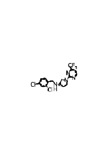 FC(F)(F)c1ccnc(N2CC[C@H](NCc3ccc(Cl)cc3Cl)C2)n1